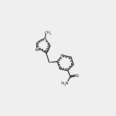 Cn1cnc(Cc2cc(C(N)=O)ccn2)c1